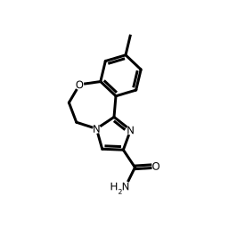 Cc1ccc2c(c1)OCCn1cc(C(N)=O)nc1-2